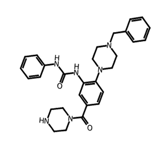 O=C(Nc1ccccc1)Nc1cc(C(=O)N2CCNCC2)ccc1N1CCN(Cc2ccccc2)CC1